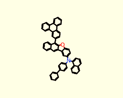 c1ccc(-c2ccc(N(c3ccc4oc5c(-c6ccc7c8ccccc8c8ccccc8c7c6)c6ccccc6cc5c4c3)c3cccc4ccccc34)cc2)cc1